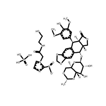 COc1cc([C@@H]2c3cc4c(cc3[C@@H](O[C@@H]3O[C@@H]5CO[C@@H](C)O[C@H]5[C@H](O)[C@H]3O)[C@H]3COC(=O)[C@H]23)OCO4)cc(OC)c1O.O=C(Cn1ccnc1[N+](=O)[O-])NCCO.O=P(O)(O)O